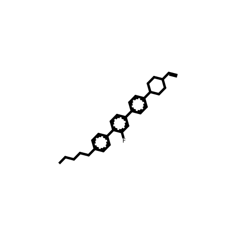 C=CC1CCC(c2ccc(-c3ccc(-c4ccc(CCCCC)cc4)c(F)c3)cc2)CC1